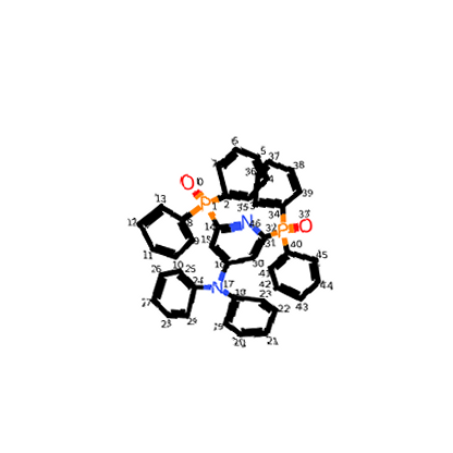 O=P(c1ccccc1)(c1ccccc1)c1cc(N(c2ccccc2)c2ccccc2)cc(P(=O)(c2ccccc2)c2ccccc2)n1